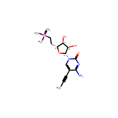 C=P(C)(C)CC[C@H]1O[C@@H](n2cc(C#CC)c(N)nc2=O)[C@H](O)[C@@H]1O